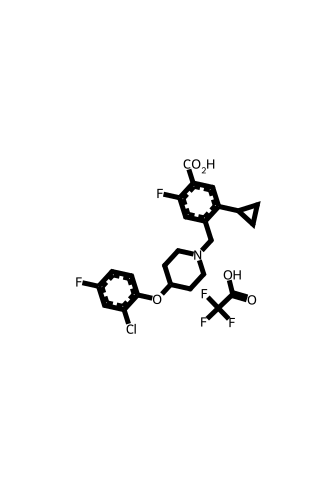 O=C(O)C(F)(F)F.O=C(O)c1cc(C2CC2)c(CN2CCC(Oc3ccc(F)cc3Cl)CC2)cc1F